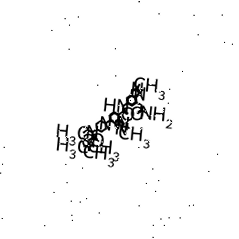 CCN(C(=O)OC(C)(C)C)C1CCN(c2ccc(C(=O)Nc3cc(CC(N)=O)c4nn(C)cc4c3)c3nn(C)cc23)CC1